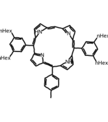 CCCCCCc1cc(CCCCCC)cc(-c2c3nc(c(-c4ccc(C)cc4)c4ccc([nH]4)c(-c4cc(CCCCCC)cc(CCCCCC)c4)c4nc(cc5ccc2[nH]5)C=C4)C=C3)c1